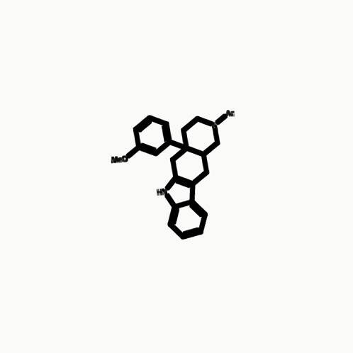 COc1cccc(C23CCN(C(C)=O)CC2Cc2c([nH]c4ccccc24)C3)c1